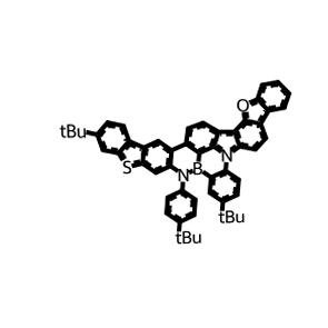 CC(C)(C)c1ccc(N2B3c4cc(C(C)(C)C)ccc4-n4c5ccc6c7ccccc7oc6c5c5ccc(c3c54)-c3cc4c(cc32)sc2cc(C(C)(C)C)ccc24)cc1